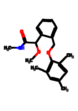 CNC(=O)C(OC)c1ccccc1COc1c(C)cc(C)cc1C